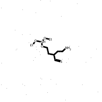 CCO[SiH](OCC)OCCC(C=S)CCN